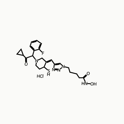 Cl.O=C(CCCCn1cc(C=C2CN(C(C(=O)C3CC3)c3ccccc3F)CCC2S)nn1)NO